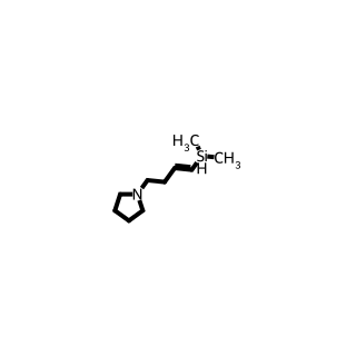 C[SiH](C)C=CCCN1CCCC1